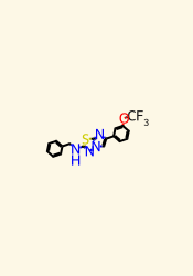 FC(F)(F)Oc1cccc(-c2cn3nc(NCc4ccccc4)sc3n2)c1